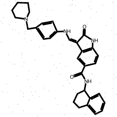 O=C1Nc2ccc(C(=O)NC3CCCc4ccccc43)cc2/C1=C/Nc1ccc(CN2CCCCC2)cc1